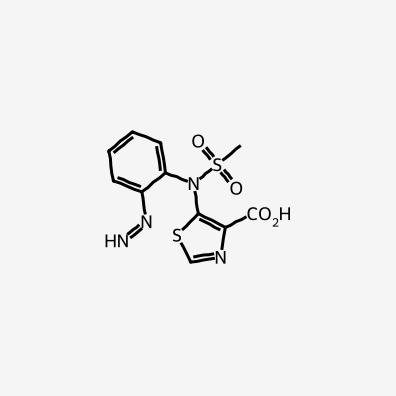 CS(=O)(=O)N(c1ccccc1N=N)c1scnc1C(=O)O